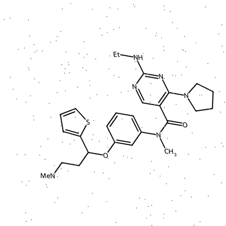 CCNc1ncc(C(=O)N(C)c2cccc(OC(CCNC)c3cccs3)c2)c(N2CCCC2)n1